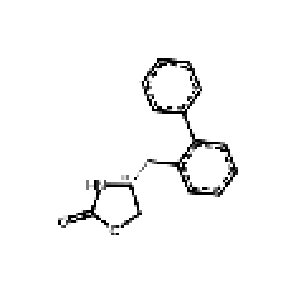 O=C1N[C@H](Cc2ccccc2-c2ccccc2)CO1